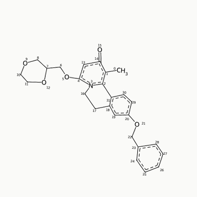 Cc1c2n(c(OCC3COCCO3)cc1=O)CCc1cc(OCc3ccccc3)ccc1-2